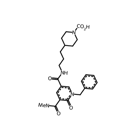 CNC(=O)c1cc(C(=O)NCCCC2CCN(C(=O)O)CC2)cn(Cc2ccccc2)c1=O